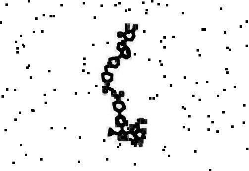 CC(C)(C)n1nc(-c2noc(C3CC3)c2-c2ncc(C3CCN(C(=O)OCC(=O)N4CCC(CN5CCN(c6cccc7c6CCN7C6CCC(=O)NC6=O)CC5)CC4)CC3)cn2)c2c(N)ncnc21